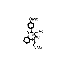 CNCCN1C(=O)[C@@H](OC(C)=O)C(c2ccc(OC)cc2)Sc2ccccc21